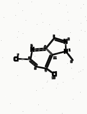 Cn1ncc2nc(Cl)cc(Cl)c21